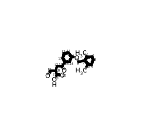 Cc1cccc(C)c1COc1cccc(C(=O)CC(C=O)C(=O)O)c1